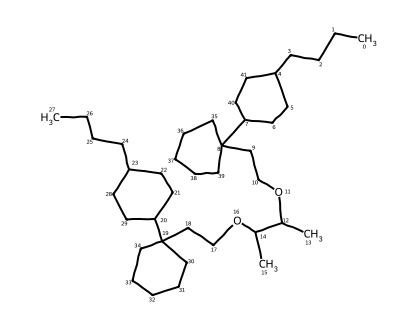 CCCCC1CCC(C2(CCOC(C)C(C)OCCC3(C4CCC(CCCC)CC4)CCCCC3)CCCCC2)CC1